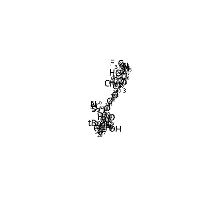 Cc1ncsc1-c1ccc(CNC(=O)[C@@H]2C[C@@H](O)CN2C(=O)[C@@H](NC(=O)C2(F)CC2)C(C)(C)C)c(OCCOCCOCCCCCOc2ccc(-c3cc(C(F)(F)F)nn3C)c(O)c2-c2ccc(Cl)c(C(F)(F)F)c2)c1